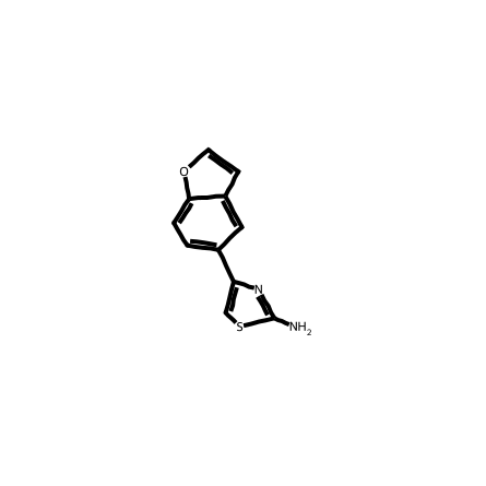 Nc1nc(-c2ccc3occc3c2)cs1